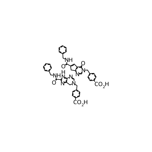 O=C(NCc1ccccc1)C1=Cc2c(ncn(Cc3ccc(C(=O)O)cc3)c2=O)C1.O=C(O)c1ccc(CN2C=Nc3[nH]c(C(=O)NCc4ccccc4)nc3C2)cc1